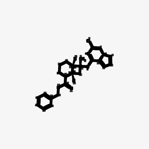 C[C@@]1(Oc2nc(Cl)cn3nccc23)C[C@@H]2[C@H]1CCCN2C(=O)OCc1ccccc1